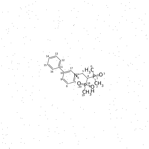 CP(C)(=O)C(C[n+]1cccc(-c2ccccc2)c1)P(C)(=O)O